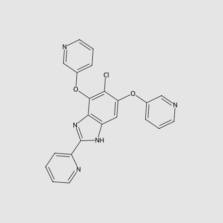 Clc1c(Oc2cccnc2)cc2[nH]c(-c3ccccn3)nc2c1Oc1cccnc1